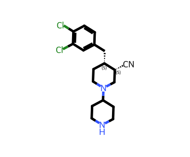 N#C[C@@H]1CN(C2CCNCC2)CC[C@@H]1Cc1ccc(Cl)c(Cl)c1